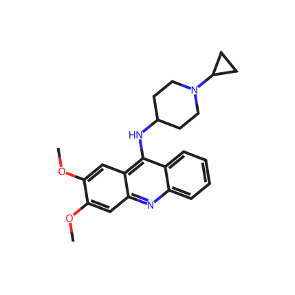 COc1cc2nc3ccccc3c(NC3CCN(C4CC4)CC3)c2cc1OC